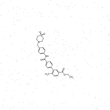 CCOC(=O)c1ccc(C)c(-c2ccc(C(=O)Nc3ccc(CN4CCS(=O)(=O)CC4)cc3)cc2)c1